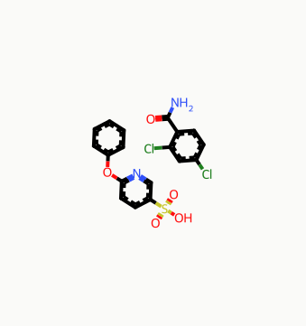 NC(=O)c1ccc(Cl)cc1Cl.O=S(=O)(O)c1ccc(Oc2ccccc2)nc1